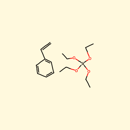 C=Cc1ccccc1.CCO[Si](OCC)(OCC)OCC